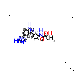 C[C@H](O)C(=O)Nc1cccc(-c2n[nH]c3ccc(-c4nn[nH]n4)cc23)c1